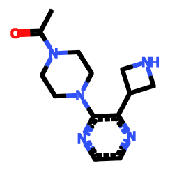 CC(=O)N1CCN(c2nccnc2C2CNC2)CC1